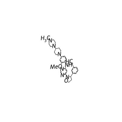 C#Cc1cccc(C2CCON2c2cc(Nc3ccc(N4CCC(N5CCN(C)CC5)CC4)cc3OC)ncn2)c1